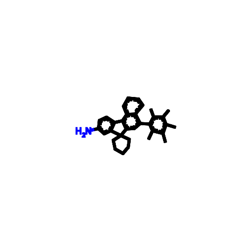 Cc1c(C)c(C)c(-c2cc3c(c4ccccc24)-c2ccc(N)cc2C32CCCCC2)c(C)c1C